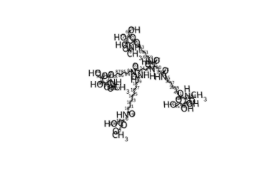 COC[C@@H]1O[C@@H](CNC(=O)CCCCCCCCCCC(=O)NC(CCC(=O)NC(CCC(=O)NCCCCCCOC2O[C@H](CO)C(O)C(O)C2NC(C)=O)C(=O)NCCCCCCOC2OC(CO)C(O)C(O)C2NC(C)=O)C(=O)NCCCCCCOC2OC(CO)C(O)C(O)C2NC(C)=O)C[C@H]1O